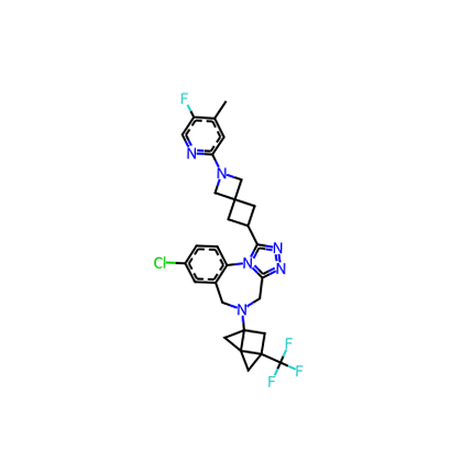 Cc1cc(N2CC3(CC(c4nnc5n4-c4ccc(Cl)cc4CN(C46CC7(C(F)(F)F)CC47C6)C5)C3)C2)ncc1F